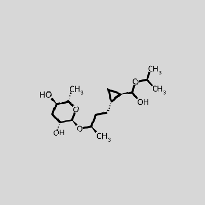 CC(C)OC(O)[C@@H]1C[C@H]1CC[C@@H](C)O[C@@H]1O[C@@H](C)[C@H](O)C[C@H]1O